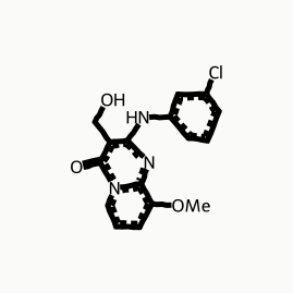 COc1cccn2c(=O)c(CO)c(Nc3cccc(Cl)c3)nc12